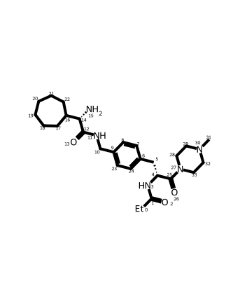 CCC(=O)N[C@H](Cc1ccc(CNC(=O)[C@@H](N)C2CCCCCC2)cc1)C(=O)N1CCN(C)CC1